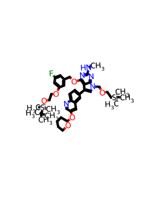 CNc1nc(OCc2cc(F)cc(OCCO[Si](C)(C)C(C)(C)C)c2)c2c(-c3ccc4ncc(OC5CCCCO5)cc4c3)cn(COCC[Si](C)(C)C)c2n1